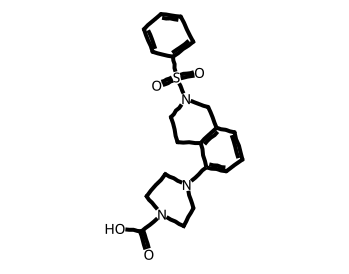 O=C(O)N1CCN(c2cccc3c2CCN(S(=O)(=O)c2ccccc2)C3)CC1